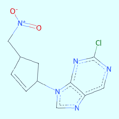 O=[N+]([O-])CC1C=CC(n2cnc3cnc(Cl)nc32)C1